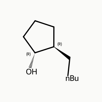 CCCCC[C@@H]1CCC[C@H]1O